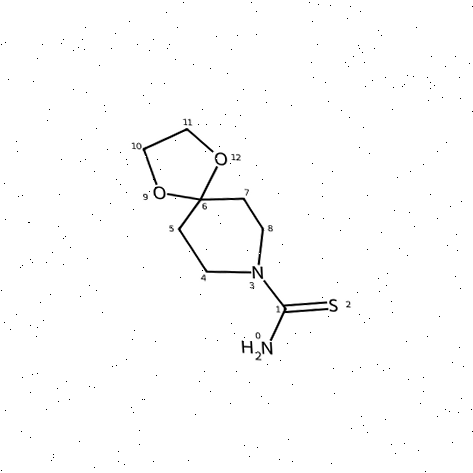 NC(=S)N1CCC2(CC1)OCCO2